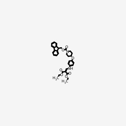 CCOC(=O)C(=CNc1ccc(OC2CCN(C(=O)OCC3c4ccccc4-c4ccccc43)CC2)cc1)C(=O)OCC